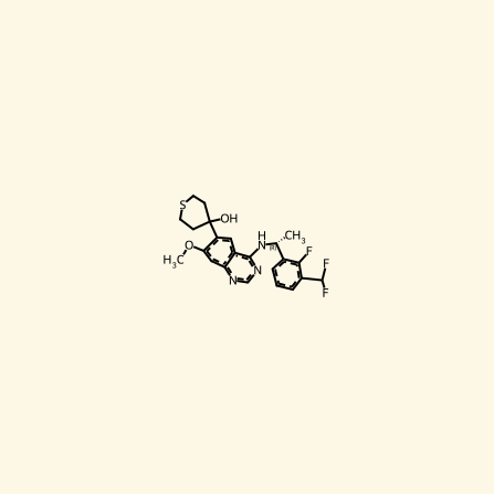 COc1cc2ncnc(N[C@H](C)c3cccc(C(F)F)c3F)c2cc1C1(O)CCSCC1